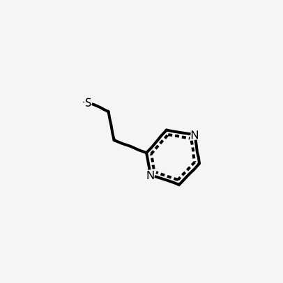 [S]CCc1cnccn1